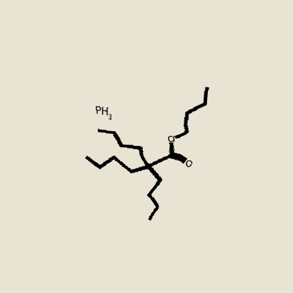 CCCCOC(=O)C(CCCC)(CCCC)CCCC.P